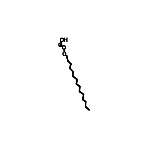 CCCCCCCCCCCCCCCOOOO